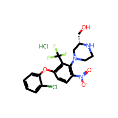 Cl.O=[N+]([O-])c1ccc(Oc2ccccc2Cl)c(C(F)(F)F)c1N1CCN[C@@H](CO)C1